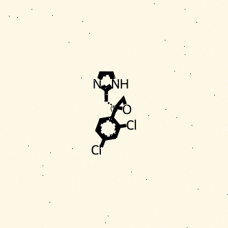 Clc1ccc([C@@]2(Cc3ncc[nH]3)CO2)c(Cl)c1